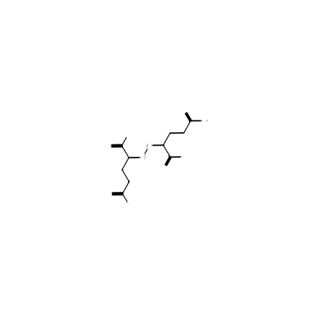 NC(=O)CCC(NNC(CCC(=O)O)C(=O)O)C(=O)O